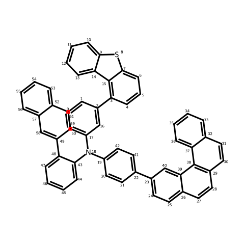 c1cc(-c2cccc3sc4ccccc4c23)cc(N(c2ccc(-c3ccc4ccc5ccc6ccccc6c5c4c3)cc2)c2ccccc2-c2ccc3ccccc3c2)c1